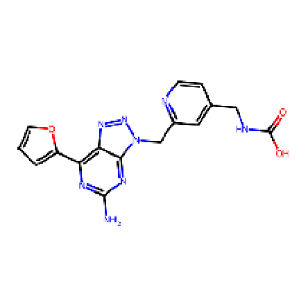 Nc1nc(-c2ccco2)c2nnn(Cc3cc(CNC(=O)O)ccn3)c2n1